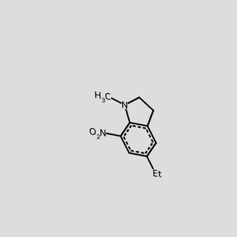 CCc1cc2c(c([N+](=O)[O-])c1)N(C)CC2